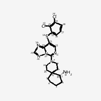 N[C@@H]1CCCCC12CCN(c1ncc(Sc3cccc(Cl)c3Cl)c3ncnn13)CC2